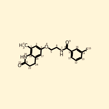 Cc1cc(OCCNC(=O)c2cccc(F)c2)cc2c1NC(=O)CC2